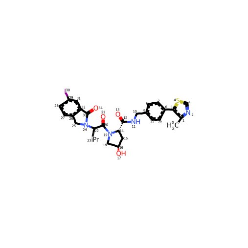 Cc1ncsc1-c1ccc(CNC(=O)[C@@H]2C[C@@H](O)CN2C(=O)C(C(C)C)N2Cc3ccc(I)cc3C2=O)cc1